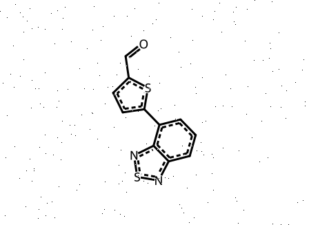 O=Cc1ccc(-c2cccc3nsnc23)s1